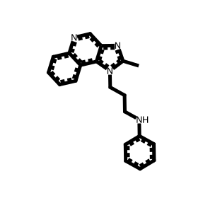 Cc1nc2cnc3ccccc3c2n1CCCNc1ccccc1